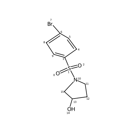 O=S(=O)(c1ccc(Br)cc1)N1CCC(O)C1